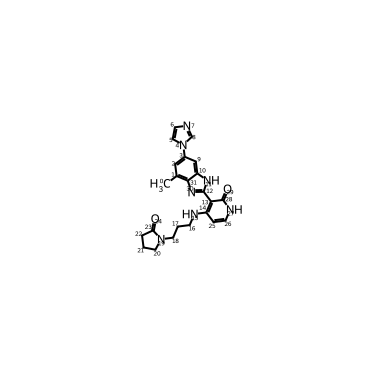 Cc1cc(-n2ccnc2)cc2[nH]c(-c3c(NCCCN4CCCC4=O)cc[nH]c3=O)nc12